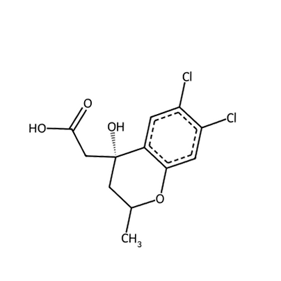 CC1C[C@@](O)(CC(=O)O)c2cc(Cl)c(Cl)cc2O1